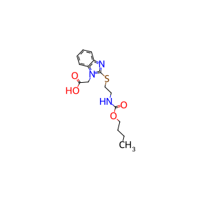 CCCCOC(=O)NCCSc1nc2ccccc2n1CC(=O)O